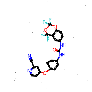 N#Cc1cc(Oc2ccc(NC(=O)Nc3ccc4c(c3)C(F)(F)OC(F)(F)O4)cc2)ccn1